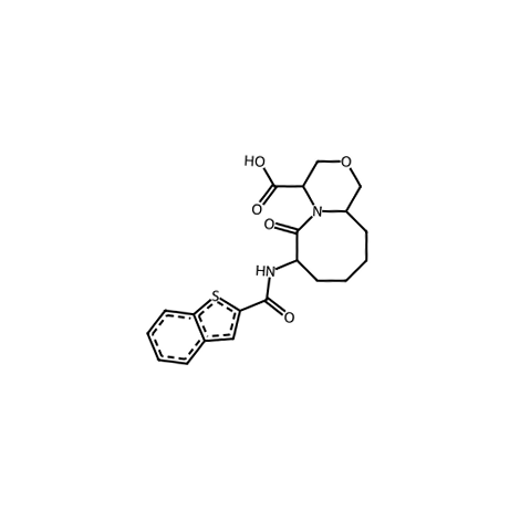 O=C(NC1CCCCC2COCC(C(=O)O)N2C1=O)c1cc2ccccc2s1